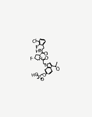 CC(=O)c1cn(CC(=O)N2C[C@H](F)C[C@H]2C(=O)NCc2cccc(Cl)c2F)c2cc(OCP(C)(=O)O)ccc12